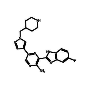 Nc1ncc(-c2cnn(CC3CCNCC3)c2)nc1-c1nc2cc(F)ccc2[nH]1